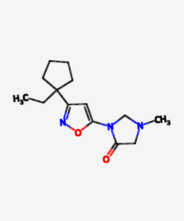 CCC1(c2cc(N3CN(C)CC3=O)on2)CCCC1